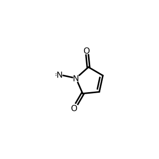 [N]N1C(=O)C=CC1=O